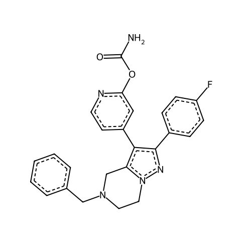 NC(=O)Oc1cc(-c2c(-c3ccc(F)cc3)nn3c2CN(Cc2ccccc2)CC3)ccn1